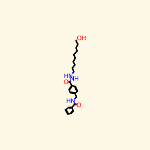 O=C(NCc1ccc(C(=O)NNCCCCCCCCCCO)cc1)c1ccccc1